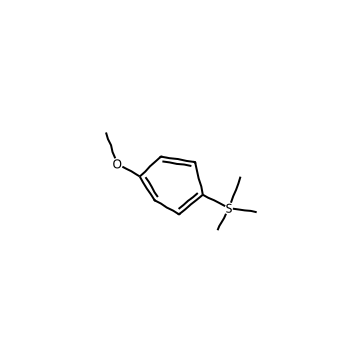 COc1ccc(S(C)(C)C)cc1